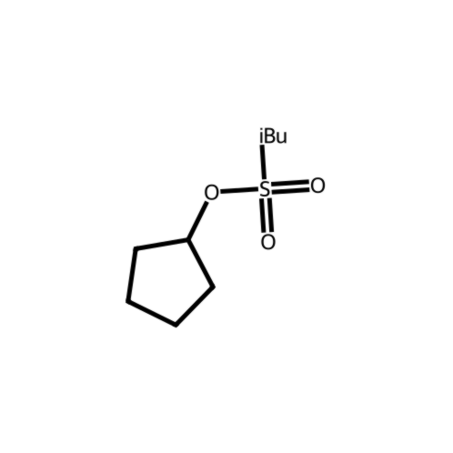 CCC(C)S(=O)(=O)OC1CCCC1